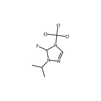 CC(C)N1N=CN(C(Cl)(Cl)Cl)C1F